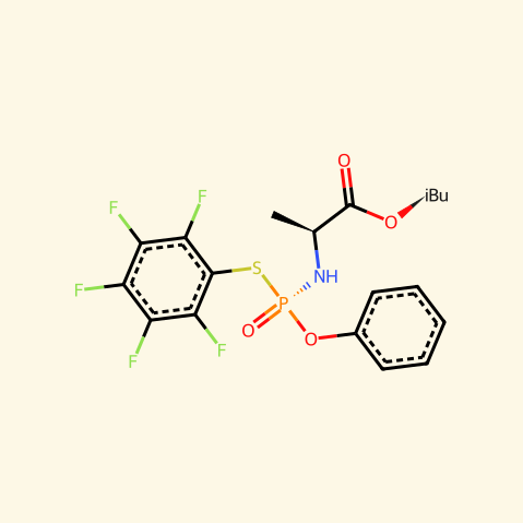 CC[C@H](C)OC(=O)[C@H](C)N[P@@](=O)(Oc1ccccc1)Sc1c(F)c(F)c(F)c(F)c1F